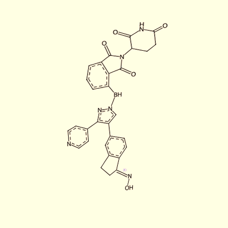 O=C1CCC(N2C(=O)c3cccc(Bn4cc(-c5ccc6c(c5)CC/C6=N\O)c(-c5ccncc5)n4)c3C2=O)C(=O)N1